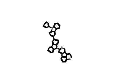 c1ccc(-n2c3ccccc3c3cc(-c4ccc5c(c4)c4ccccc4n5-c4cc5c(cn4)-c4ccnc6cccc-5c46)ccc32)cc1